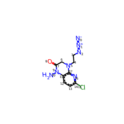 [N-]=[N+]=NCCN1CC(=O)N(N)c2ccc(Cl)nc21